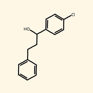 OC(CCc1ccccc1)c1ccc(Cl)cc1